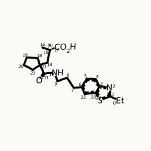 CCc1nc2ccc(CCCNC(=O)C3(C[C@@H](C)C(=O)O)CCCC3)cc2s1